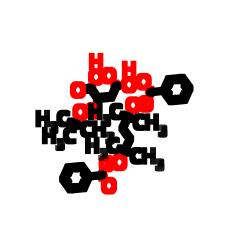 CC(C)(C)OOC(=CC(=O)O)C(=O)O.CC(C)(CCC(C)(C)OOC(=O)c1ccccc1)OOC(=O)c1ccccc1